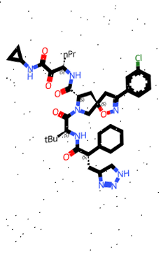 CCC[C@H](NC(=O)[C@@H]1C[C@]2(CC(c3cccc(Cl)c3)=NO2)CN1C(=O)[C@@H](NC(=O)[C@@H](CC1CNN=N1)C1CCCCC1)C(C)(C)C)C(=O)C(=O)NC1CC1